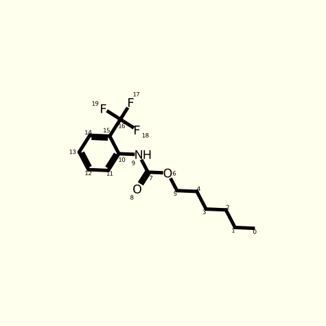 CCCCCCOC(=O)Nc1ccccc1C(F)(F)F